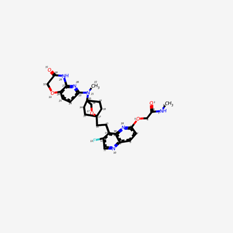 CNC(=O)COc1ccc2ncc(F)c(CCC34CCC(N(C)c5ccc6c(n5)NC(=O)CO6)(CC3)CO4)c2n1